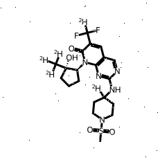 [2H]C1(Nc2ncc3cc(C([2H])(F)F)c(=O)n([C@H]4CCC[C@@]4(O)C([2H])([2H])[2H])c3n2)CCN(S(C)(=O)=O)CC1